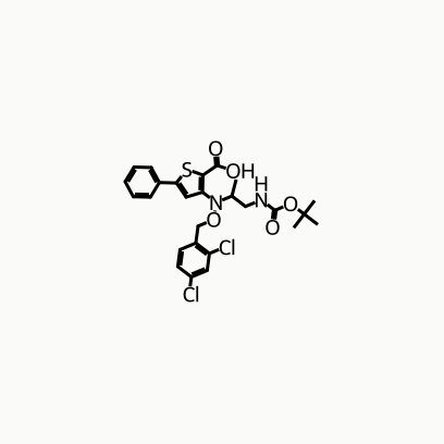 CC(CNC(=O)OC(C)(C)C)N(OCc1ccc(Cl)cc1Cl)c1cc(-c2ccccc2)sc1C(=O)O